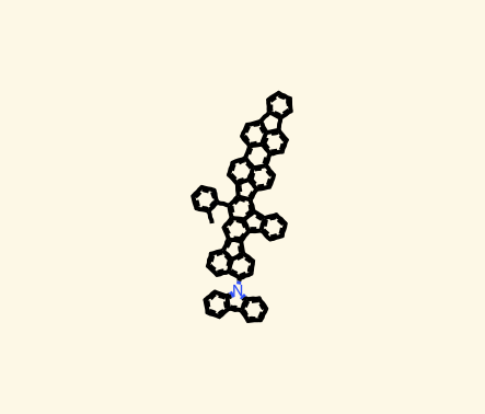 Cc1ccccc1-c1c2cc3c4cccc5c(-n6c7ccccc7c7ccccc76)ccc(c54)c3c3c4ccccc4c(c4c5ccc6c7ccc8c9c(ccc(c%10ccc(c14)c5c%106)c97)-c1ccccc1-8)c23